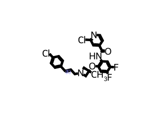 CC1(Oc2cc(F)c(F)cc2NC(=O)c2ccnc(Cl)c2)CN(C/C=C/c2ccc(Cl)cc2)C1